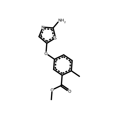 COC(=O)c1cc(Oc2cnc(N)s2)ccc1C